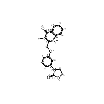 Cc1c(COc2cccc(N3CCOC3=O)c2)[nH]c2ccccc2c1=O